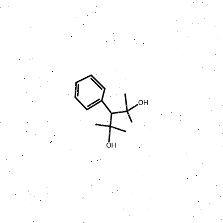 CC(C)(O)C(c1ccccc1)C(C)(C)O